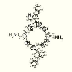 NCCCC[C@H]1NC(=O)c2coc(n2)C(CCCCN(Cc2ccccn2)Cc2ccccn2)NC(=O)c2coc(n2)[C@@H](CCCCN)NC(=O)C2COC(=N2)[C@H](CCCCN(Cc2ccccn2)Cc2ccccn2)NC(=O)c2coc1n2